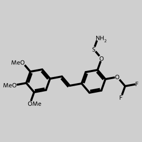 COc1cc(/C=C/c2ccc(OC(F)F)c(OSN)c2)cc(OC)c1OC